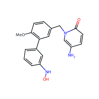 COc1ccc(Cn2cc(N)ccc2=O)cc1-c1cccc(NO)c1